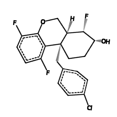 O[C@@H]1CC[C@@]2(Cc3ccc(Cl)cc3)c3c(F)ccc(F)c3OC[C@H]2[C@@H]1F